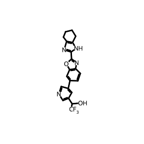 OC(c1cncc(-c2ccc3nc(-c4nc5c([nH]4)CCCC5)oc3c2)c1)C(F)(F)F